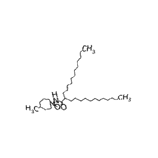 CCCCCCCCCCCCC(CCCCCCCCCCCC)C(=O)N[N+]1([O-])CCCC(C)CC1